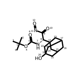 CC(C)(C)OC(=O)N[C@H](C(=O)N=O)C12CC3CC(CC(O)(C3)C1)C2